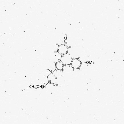 COc1ccc(-n2nc(C(C)(C)CC(=O)N(C)O)cc2-c2ccc(Cl)cc2)cc1